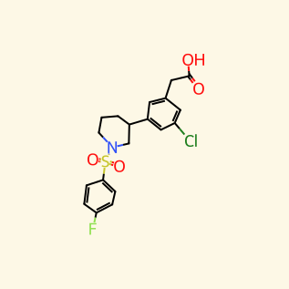 O=C(O)Cc1cc(Cl)cc(C2CCCN(S(=O)(=O)c3ccc(F)cc3)C2)c1